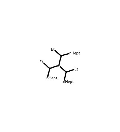 CCCCCCCC(CC)P(C(CC)CCCCCCC)C(CC)CCCCCCC